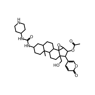 CC(=O)OC1C(c2ccc(=O)oc2)C2(CO)CCC3C(CCC4CC(NC(=O)NC5CCNCC5)CCC43C)C23OC13